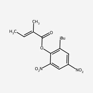 CC=C(C)C(=O)Oc1c(C(C)CC)cc([N+](=O)[O-])cc1[N+](=O)[O-]